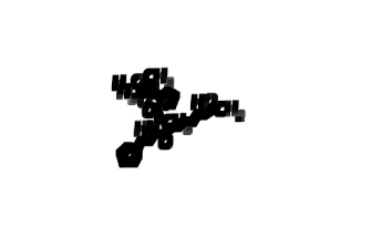 C=C(O)CCCCCCC(=O)C(CCc1ccccc1)NC(C)C(=O)N1CCCC1C(=O)OC(C)(C)C